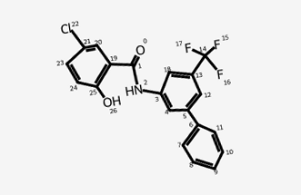 O=C(Nc1cc(-c2ccccc2)cc(C(F)(F)F)c1)c1cc(Cl)ccc1O